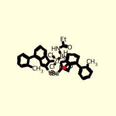 CCC(=O)N[B](NC(=O)CC)[Zr]([Cl])([Cl])([CH]1C(C(C)(C)C)=Cc2c(-c3ccccc3C)cccc21)[CH]1C(C(C)(C)C)=Cc2c(-c3ccccc3C)cccc21